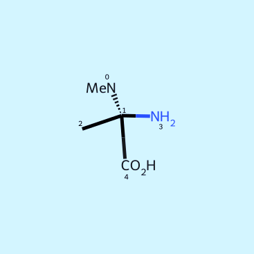 CN[C@](C)(N)C(=O)O